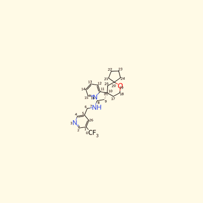 FC(F)(F)c1cncc(CNCC[C@@]2(c3ccccn3)CCOC3(CCCC3)C2)c1